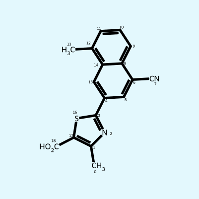 Cc1nc(-c2cc(C#N)c3cccc(C)c3c2)sc1C(=O)O